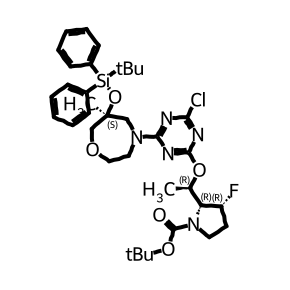 C[C@@H](Oc1nc(Cl)nc(N2CCOC[C@@](C)(O[Si](c3ccccc3)(c3ccccc3)C(C)(C)C)C2)n1)[C@@H]1[C@H](F)CCN1C(=O)OC(C)(C)C